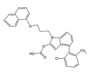 Cc1cccc(Cl)c1-c1cccc2c1cc(OC(=O)O)n2CCCOc1cccc2ccccc12